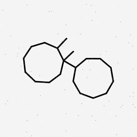 CC1CCCCCCCC1(C)C1CCCCCCCC1